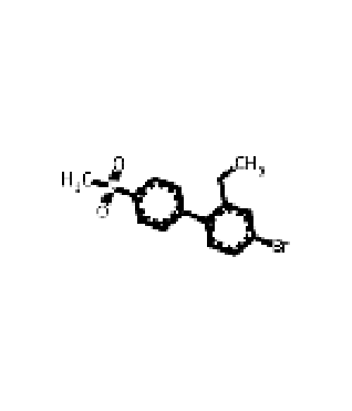 CCc1cc(Br)ccc1-c1ccc(S(C)(=O)=O)cc1